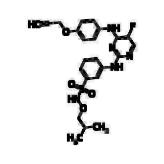 C#CCOc1ccc(Nc2nc(Nc3cccc(S(=O)(=O)NOCC(C)C)c3)ncc2F)cc1